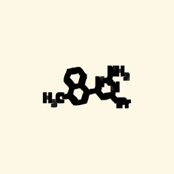 Cc1ccc(-c2cc(C(C)C)nc(N)n2)c2ccccc12